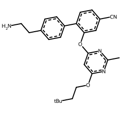 Cc1nc(OCCC(C)(C)C)cc(Oc2cc(C#N)ccc2-c2ccc(CCN)cc2)n1